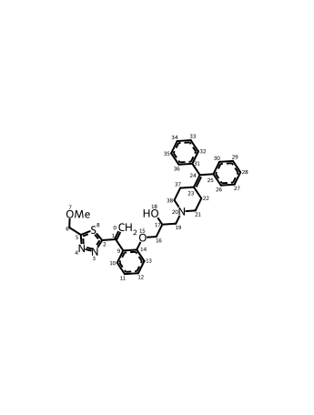 C=C(c1nnc(COC)s1)c1ccccc1OCC(O)CN1CCC(=C(c2ccccc2)c2ccccc2)CC1